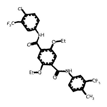 CCOc1cc(C(=O)Nc2ccc(Cl)c(C(F)(F)F)c2)c(OCC)cc1C(=O)Nc1ccc(C)c(C(F)(F)F)c1